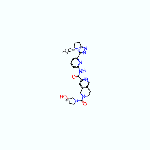 C[C@@H]1CCc2nnc(-c3cccc(NC(=O)c4cc5c(cn4)CCN(C(=O)N4CC[C@@H](O)C4)C5)n3)n21